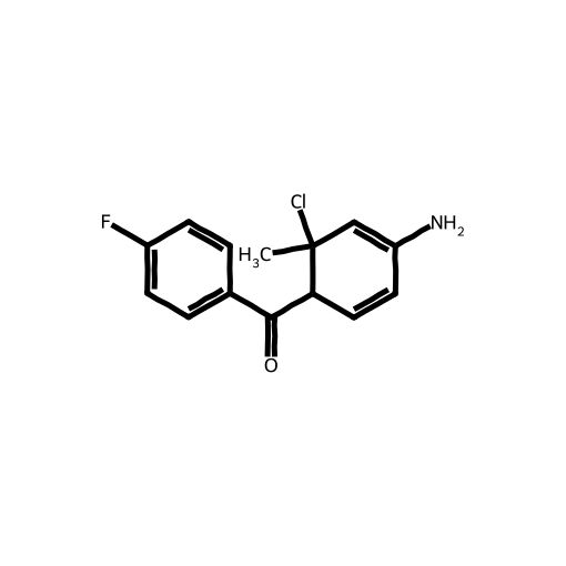 CC1(Cl)C=C(N)C=CC1C(=O)c1ccc(F)cc1